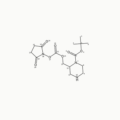 CC(C)(C)OC(=O)N1CCNCC1COC(=O)ON1C(=O)CCC1=O